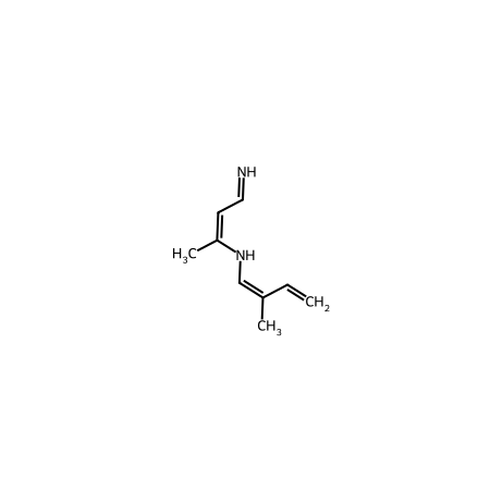 C=C/C(C)=C\N/C(C)=C\C=N